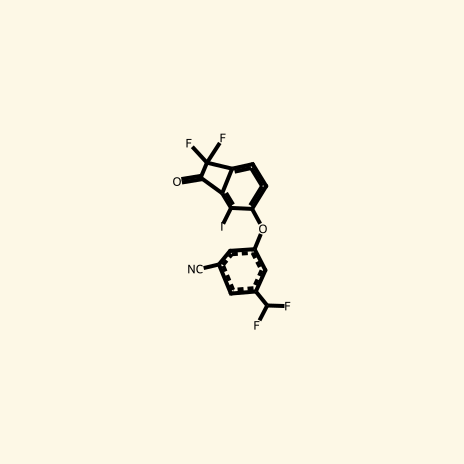 N#Cc1cc(OC2=C=C=C3C(=C2I)C(=O)C3(F)F)cc(C(F)F)c1